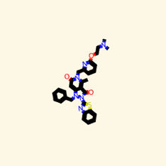 Cc1c2c(=O)n(-c3nc4ccccc4s3)n(Cc3ccccc3)c2cc(=O)n1Cc1cccc(OCCN(C)C)n1